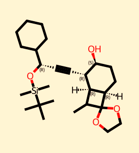 CC1[C@H]2[C@H](C#C[C@H](O[Si](C)(C)C(C)(C)C)C3CCCCC3)[C@@H](O)CC[C@H]2C12OCCO2